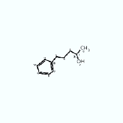 C[C@@H](O)CCCc1ccccc1